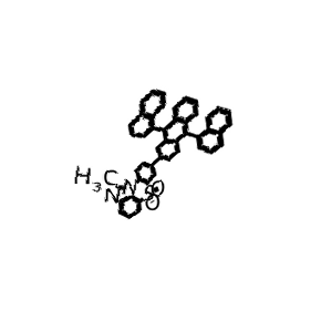 Cc1nc2cccc3c2n1-c1ccc(-c2ccc4c(-c5cccc6ccccc56)c5ccccc5c(-c5cccc6ccccc56)c4c2)cc1S3(=O)=O